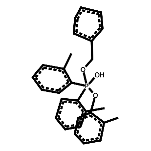 Cc1ccccc1OP(O)(OCc1ccccc1)(c1ccccc1C)c1ccccc1C